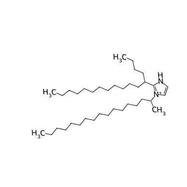 CCCCCCCCCCCCCCCC(C)[n+]1cc[nH]c1C(CCCC)CCCCCCCCCCCC